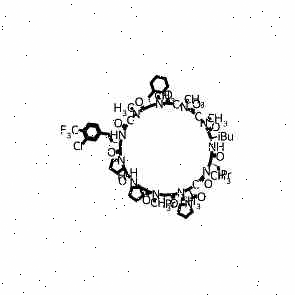 CC[C@H](C)[C@@H]1NC(=O)[C@H](CC(C)C)N(C)C(=O)C[C@@H](C(=O)N2CCCC2)N(C)C(=O)[C@H](C(C)C)N(C)C(=O)C2(CCCC2)NC(=O)[C@@H]2CCCN2C(=O)[C@H](CCc2ccc(C(F)(F)F)c(Cl)c2)NC(=O)CN(C)C(=O)[C@H](CC2CCCCC2)N(C)C(=O)CN(C)C(=O)CN(C)C1=O